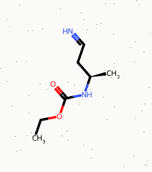 CCOC(=O)N[C@H](C)CC=N